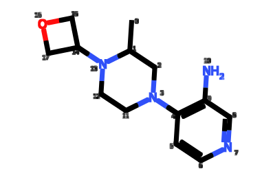 CC1CN(c2ccncc2N)CCN1C1COC1